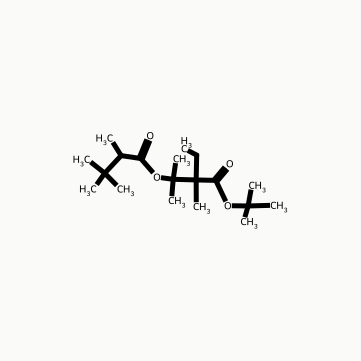 CCC(C)(C(=O)OC(C)(C)C)C(C)(C)OC(=O)C(C)C(C)(C)C